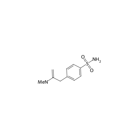 C=C(Cc1ccc(S(N)(=O)=O)cc1)NC